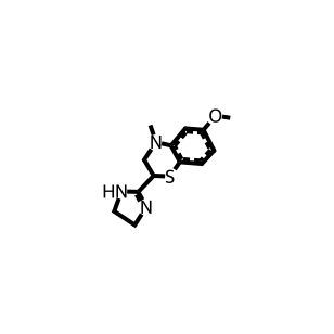 COc1ccc2c(c1)N(C)CC(C1=NCCN1)S2